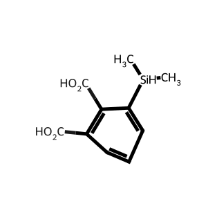 C[SiH](C)c1cccc(C(=O)O)c1C(=O)O